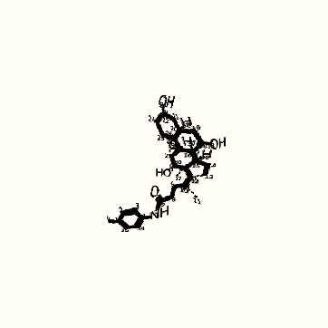 Cc1ccc(NC(=O)CC[C@@H](C)[C@H]2CC[C@H]3[C@@H]4[C@H](O)C[C@@H]5C[C@H](O)CC[C@]5(C)[C@H]4C[C@H](O)[C@]23C)cc1